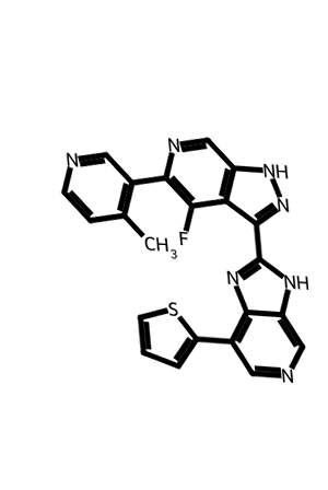 Cc1ccncc1-c1ncc2[nH]nc(-c3nc4c(-c5cccs5)cncc4[nH]3)c2c1F